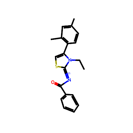 CCn1c(-c2ccc(C)cc2C)cs/c1=N\C(=O)c1ccccc1